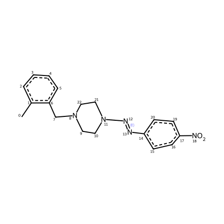 Cc1ccccc1CN1CCN(/N=N/c2ccc([N+](=O)[O-])cc2)CC1